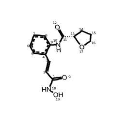 O=C(/C=C/c1ccccc1NC(=O)[C@@H]1CCCO1)NO